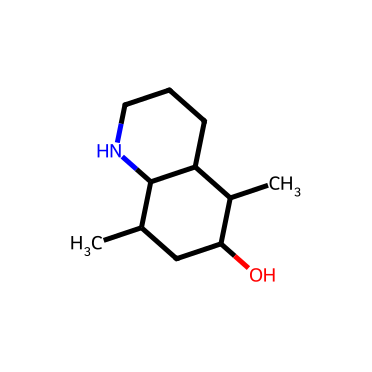 CC1CC(O)C(C)C2CCCNC12